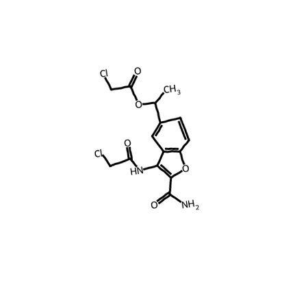 CC(OC(=O)CCl)c1ccc2oc(C(N)=O)c(NC(=O)CCl)c2c1